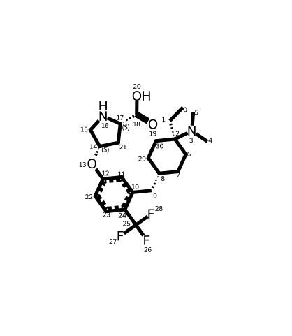 CC[C@]1(N(C)C)CC[C@H](Cc2cc(O[C@@H]3CN[C@H](C(=O)O)C3)ccc2C(F)(F)F)CC1